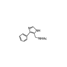 CC(=O)NCc1[nH]cnc1-c1ccccc1